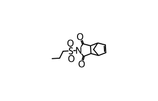 CCCS(=O)(=O)N1C(=O)C2C3C=CC(C3)C2C1=O